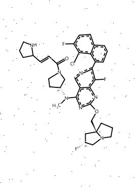 CN(c1nc(OC[C@@]23CCCN2C[C@H](F)C3)nc2c(F)c(-c3cccc4ccc(F)c(Cl)c34)ncc12)[C@@H]1CCN(C(=O)/C=C/C2CCCN2)C1